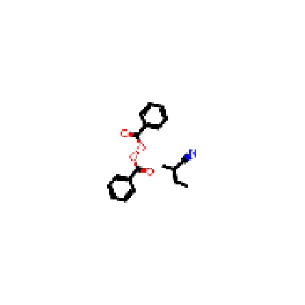 CCC(C)C#N.O=C(OOC(=O)c1ccccc1)c1ccccc1